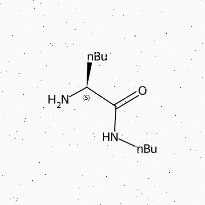 CCCCNC(=O)[C@@H](N)CCCC